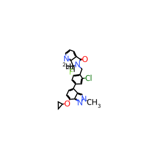 [2H]C1([2H])c2ncccc2C(=O)N1Cc1c(F)cc(-c2ccc(OC3CC3)c3nn(C)cc23)cc1Cl